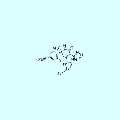 CCCCCc1ccc(C2(C)CC(c3ccn(CC(C)C)n3)=C(c3nnc[nH]3)C(=O)N2)c(F)c1